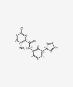 Nc1ncc(Cl)nc1C(=O)Nc1cccc(-n2ccnc2)n1